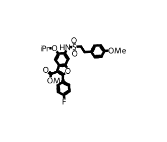 COC(=O)c1c(-c2ccc(F)cc2)oc2cc(NS(=O)(=O)CCc3ccc(OC)cc3)c(OC(C)C)cc12